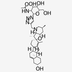 CC(=O)NC1C(O)[C@@H](O)C(CO)O[C@H]1n1cc(CN2C[C@@H](C)C[C@H]3O[C@]4(CC[C@@H]5C(=C4C)C[C@H]4[C@H]5CC=C5C[C@@H](O)CC[C@@]54C)[C@H](C)[C@@H]32)nn1